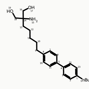 CCCCc1ccc(-c2ccc(CCCCCC(N)(CO)CO)cc2)cc1